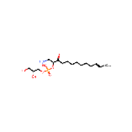 CCCCCCCC/C=C/CCCCCCCC(=O)C(CN)OP(=O)(O)OC[C@H](O)CO